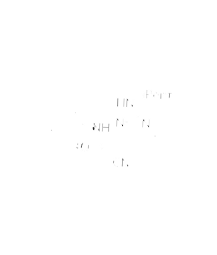 CCCC(C)Nc1nccc(C(C#N)=C2Nc3ccccc3O2)n1